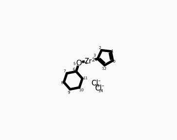 C1=CC[C]([Zr+2][O]C2CCCCC2)=C1.[Cl-].[Cl-]